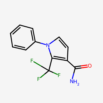 NC(=O)c1ccn(-c2ccccc2)c1C(F)(F)F